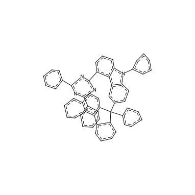 c1ccc(-c2nc(-c3ccccc3)nc(-c3cccc4c3c3cc(C5(c6ccccc6)c6ccccc6-c6c5ccc5ccccc65)ccc3n4-c3ccccc3)n2)cc1